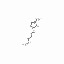 CCCN1CC[C@@H](OCCCSS)C1